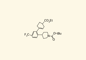 CCOC(=O)C1CC=C(c2cc(C(F)(F)F)ccc2C2CCN(C(=O)OC(C)(C)C)CC2)CC1